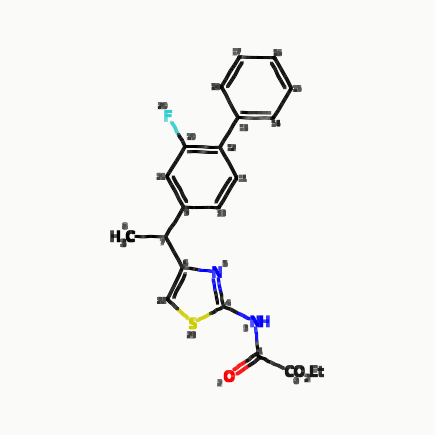 CCOC(=O)C(=O)Nc1nc(C(C)c2ccc(-c3ccccc3)c(F)c2)cs1